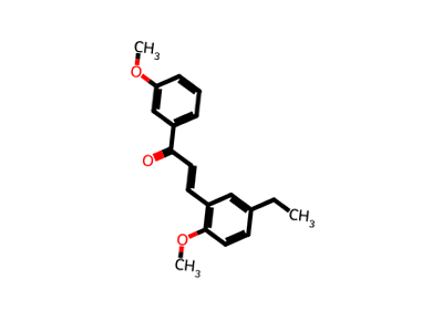 CCc1ccc(OC)c(C=CC(=O)c2cccc(OC)c2)c1